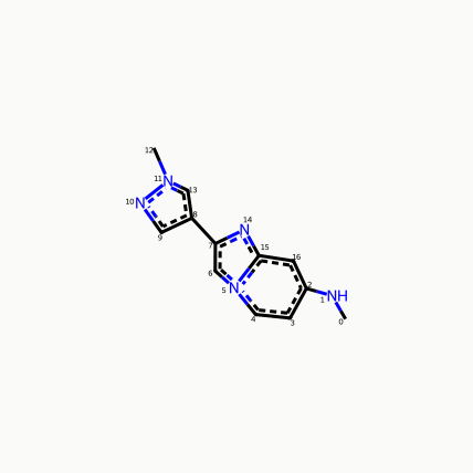 CNc1ccn2cc(-c3cnn(C)c3)nc2c1